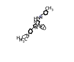 CCN(CC)c1ccc(-c2cc3nc(N/N=C/c4cccc(C)c4)cc(N4CCOCC4)n3n2)cc1